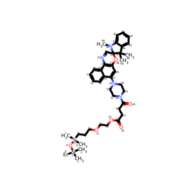 CC[Si](C)(C)O[Si](C)(C)CCCOCCOC(=O)CCC(=O)N1CCN(c2cc3c(c4ccccc24)N=CC2(O3)N(C)c3ccccc3C2(C)C)CC1